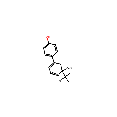 CCC(C)(C)C1(C=O)C=CC=C(c2ccc(O)cc2)C1